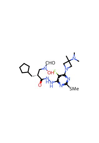 CSc1nc(NNC(=O)[C@H](CC2CCCC2)CN(O)C=O)c(F)c(N2CC(C)(N(C)C)C2)n1